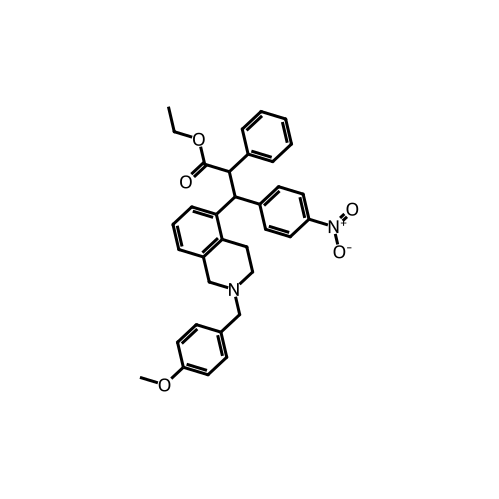 CCOC(=O)C(c1ccccc1)C(c1ccc([N+](=O)[O-])cc1)c1cccc2c1CCN(Cc1ccc(OC)cc1)C2